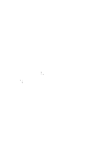 c1ccc(-c2ccnc(-c3cccc4ccccc34)n2)cc1